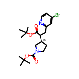 CC(C)(C)OC(=O)C(Cc1cc(Br)ccn1)[C@H]1CCN(C(=O)OC(C)(C)C)C1